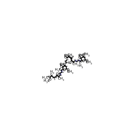 CC[C@H](OC)[C@@H](C)[C@@H]1C[C@H]1[C@H](O)[C@@H](C)/C=C/C=C(\C)[C@H]1O[C@@H](OC)C[C@H](OCCC[C@H](OC)[C@@H](C)[C@@H]2C=C2[C@H](O)[C@@H](C)/C=C/C=C(\C)[C@H]2O[C@@H](OC)C[C@H](OC)[C@H]2OC)[C@@H]1OC